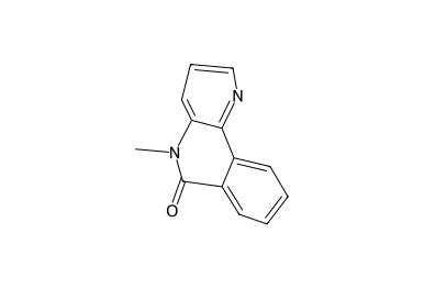 Cn1c(=O)c2ccccc2c2ncccc21